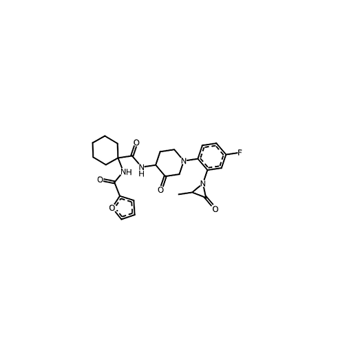 CC1C(=O)N1c1cc(F)ccc1N1CCC(NC(=O)C2(NC(=O)c3ccco3)CCCCC2)C(=O)C1